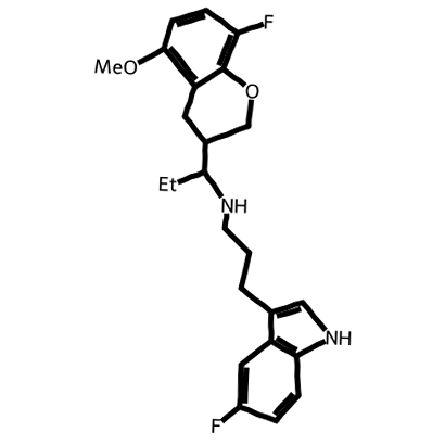 CCC(NCCCc1c[nH]c2ccc(F)cc12)C1COc2c(F)ccc(OC)c2C1